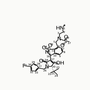 CNCCN(Cc1cccc2c1S(=O)(=O)N=C2C1=C(O)[C@H](C(C)(C)C)N(Cc2ccc(F)cc2)C1=O)S(C)(=O)=O